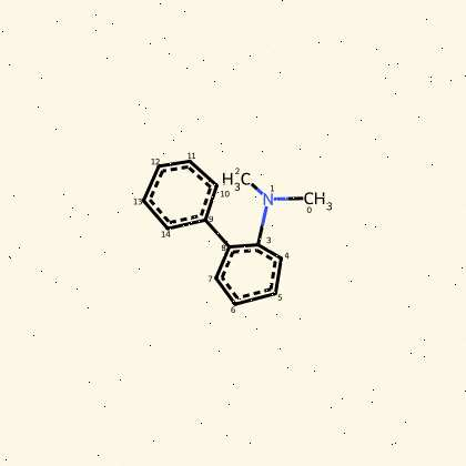 CN(C)c1ccccc1-c1ccccc1